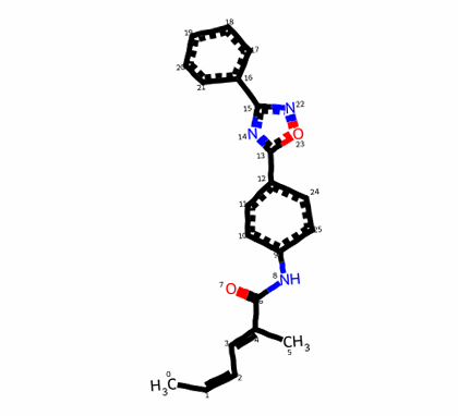 C/C=C\C=C(/C)C(=O)Nc1ccc(-c2nc(-c3ccccc3)no2)cc1